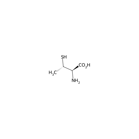 C[C@H](S)[C@H](N)C(=O)O